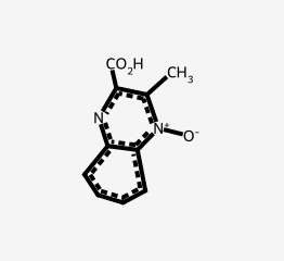 Cc1c(C(=O)O)nc2ccccc2[n+]1[O-]